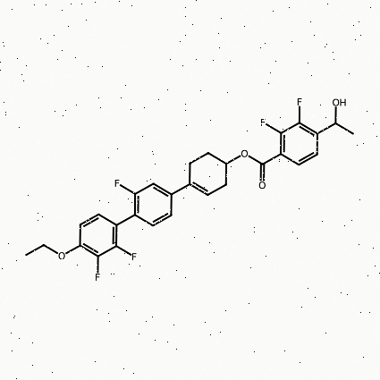 CCOc1ccc(-c2ccc(C3=CCC(OC(=O)c4ccc(C(C)O)c(F)c4F)CC3)cc2F)c(F)c1F